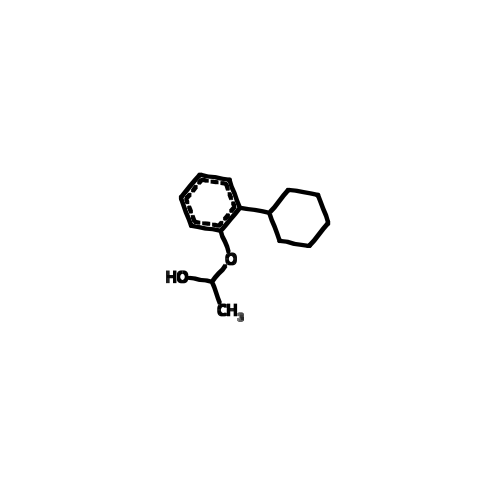 CC(O)Oc1ccccc1C1CCCCC1